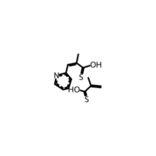 C=C(C)C(O)=S.CC(=Cc1ccccn1)C(O)=S